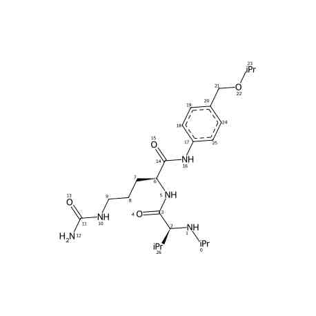 CC(C)N[C@H](C(=O)N[C@@H](CCCNC(N)=O)C(=O)Nc1ccc(COC(C)C)cc1)C(C)C